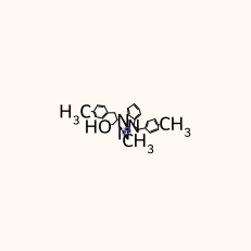 C/N=c1\n(Cc2ccc(C)cc2)c2ccccc2n1C(CO)Cc1ccc(C)cc1